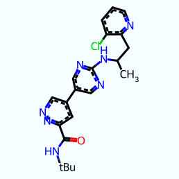 CC(Cc1ncccc1Cl)Nc1ncc(-c2cnnc(C(=O)NC(C)(C)C)c2)cn1